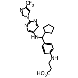 O=C(O)CCNc1ccc(C(Nc2cnc(-n3cnc(C(F)(F)F)c3)nc2)C2CCCC2)cc1